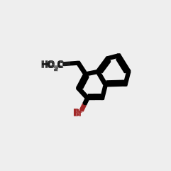 O=C(O)Cc1cc(Br)cc2ccccc12